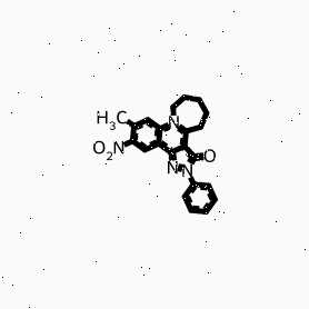 Cc1cc2c(cc1[N+](=O)[O-])c1nn(-c3ccccc3)c(=O)c-1c1n2CCCCC1